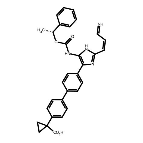 C[C@@H](OC(=O)Nc1[nH]c(/C=C\C=N)nc1-c1ccc(-c2ccc(C3(C(=O)O)CC3)cc2)cc1)c1ccccc1